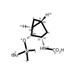 CC(C)(C)[Si](C)(C)O[C@@H]1[C@H]2C[C@@H]2C[C@@H]1NC(=O)O